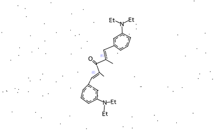 CCN(CC)c1cccc(/C=C(\C)C(=O)/C(C)=C/c2cccc(N(CC)CC)c2)c1